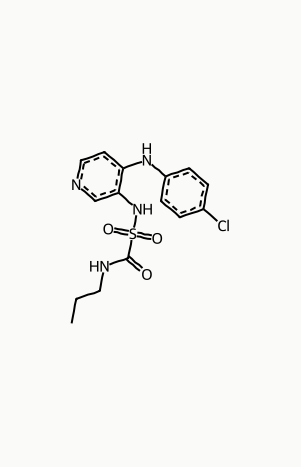 CCCNC(=O)S(=O)(=O)Nc1cnccc1Nc1ccc(Cl)cc1